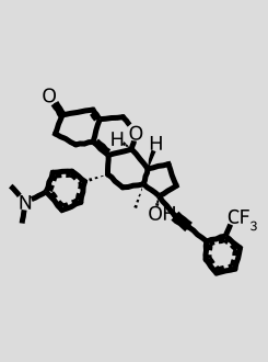 CN(C)c1ccc([C@H]2C[C@@]3(C)[C@@H](CC[C@@]3(O)C#Cc3ccccc3C(F)(F)F)[C@@H]3OCC4=CC(=O)CCC4=C32)cc1